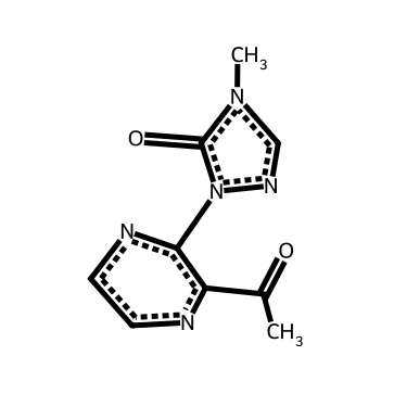 CC(=O)c1nccnc1-n1ncn(C)c1=O